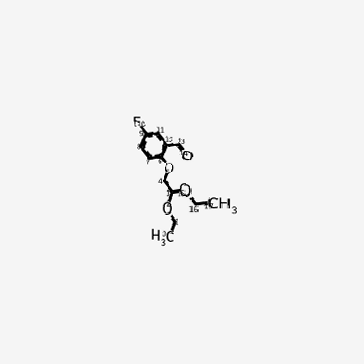 CCOC(COc1ccc(F)cc1C=O)OCC